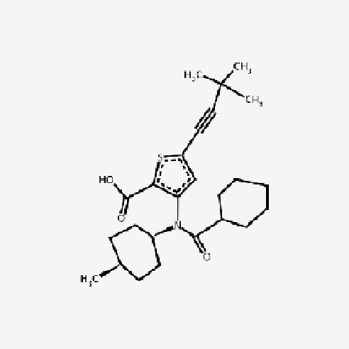 CC(C)(C)C#Cc1cc(N(C(=O)C2CCCCC2)[C@H]2CC[C@@H](C)CC2)c(C(=O)O)s1